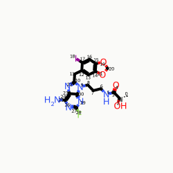 C[C@H](O)C(=O)NCCCn1c(Cc2cc3c(cc2I)OCO3)nc2c(N)nc(F)nc21